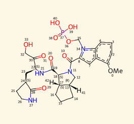 COc1cccc2c1cc(C(=O)N1C[C@@H]3CCC[C@@H]3[C@H]1C(=O)N[C@@H](C[C@@H]1CCNC1=O)C(=O)CO)n2COP(=O)(O)O